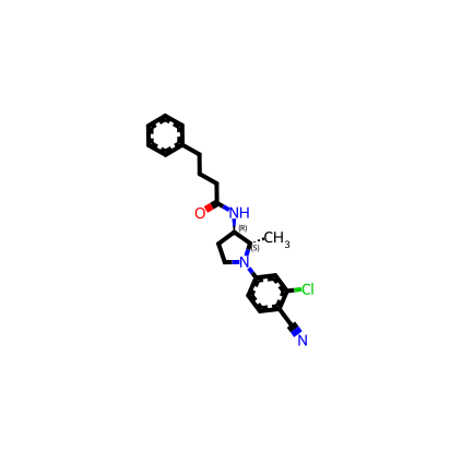 C[C@H]1[C@H](NC(=O)CCCc2ccccc2)CCN1c1ccc(C#N)c(Cl)c1